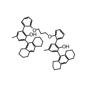 Cc1cc(-c2ccccc2OCCCOc2ccccc2-c2cc(C)cc(-c3c4c(cc5c3CCCC5)CCCC4)c2O)c(O)c(-c2c3c(cc4c2CCCC4)CCCC3)c1